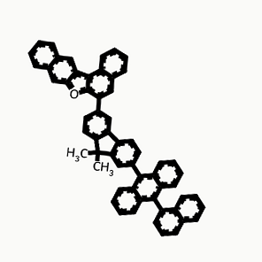 CC1(C)c2ccc(-c3cc4ccccc4c4c3oc3cc5ccccc5cc34)cc2-c2ccc(-c3c4ccccc4c(-c4cccc5ccccc45)c4ccccc34)cc21